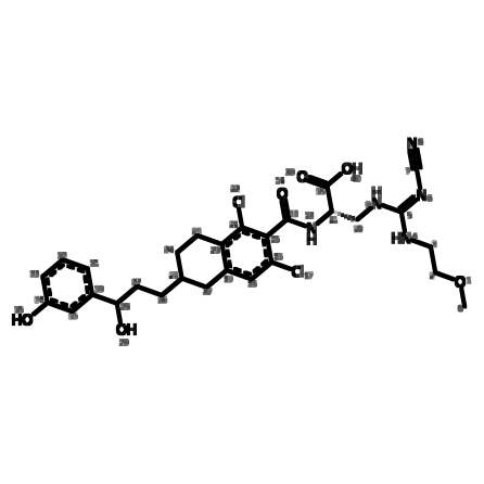 COCCN/C(=N/C#N)NC[C@H](NC(=O)c1c(Cl)cc2c(c1Cl)CCC(CCC(O)c1cccc(O)c1)C2)C(=O)O